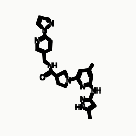 Cc1cc(Nc2cc(C)[nH]n2)nc(N2CCC(C(=O)NCc3ccc(-n4cccn4)nc3)C2)c1